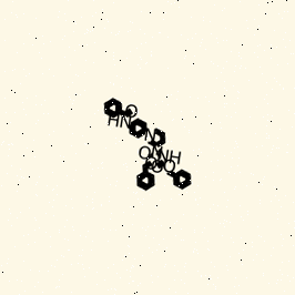 O=C(NN(C(=O)OCc1ccccc1)C1CCCN(c2ccc(NC(=O)c3ccccc3)cc2)C1)OCc1ccccc1